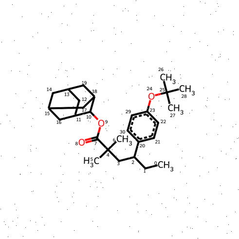 CCC(CC(C)(C)C(=O)OC1C2CC3CC(C2)CC1C3)c1ccc(OC(C)(C)C)cc1